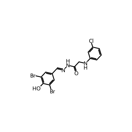 O=C(CNc1cccc(Cl)c1)N/N=C/c1cc(Br)c(O)c(Br)c1